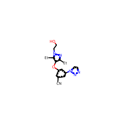 CCc1nn(CCO)c(CC)c1Oc1cc(C#N)cc(-n2ccnn2)c1